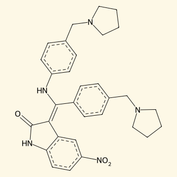 O=C1Nc2ccc([N+](=O)[O-])cc2C1=C(Nc1ccc(CN2CCCC2)cc1)c1ccc(CN2CCCC2)cc1